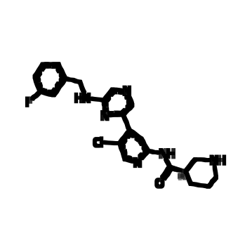 O=C(Nc1cc(-c2cncc(NCc3cccc(F)c3)n2)c(Cl)cn1)[C@@H]1CCCNC1